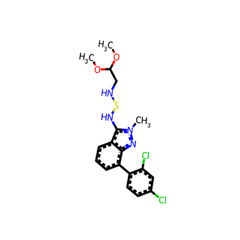 COC(CNSNc1c2cccc(-c3ccc(Cl)cc3Cl)c2nn1C)OC